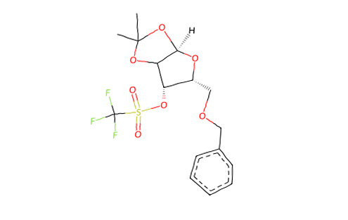 CC1(C)OC2[C@H](O[C@H](COCc3ccccc3)[C@@H]2OS(=O)(=O)C(F)(F)F)O1